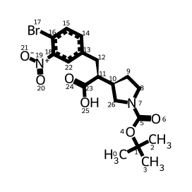 CC(C)(C)OC(=O)N1CC[C@H]([C@H](Cc2ccc(Br)c([N+](=O)[O-])c2)C(=O)O)C1